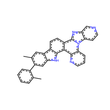 Cc1ccccc1-c1cc2[nH]c3c(ccc4c3c3ncccc3n3c5ccncc5nc43)c2cc1C